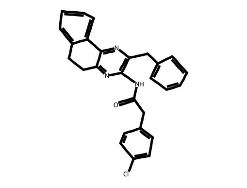 O=C(Cc1ccc(Cl)cc1)Nc1nc2c(nc1Cc1ccccc1)-c1ccccc1CC2